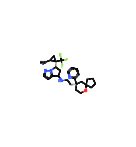 CC1CC1([C@@H]1C[C@@H](NCC[C@@]2(c3ccccn3)CCOC3(CCCC3)C2)c2ccnn21)C(F)(F)F